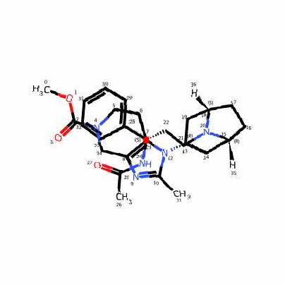 COC(=O)N1CCc2c(nc(C)n2[C@H]2C[C@H]3CC[C@@H](C2)N3CC[C@H](NC(C)=O)c2ccccc2)C1